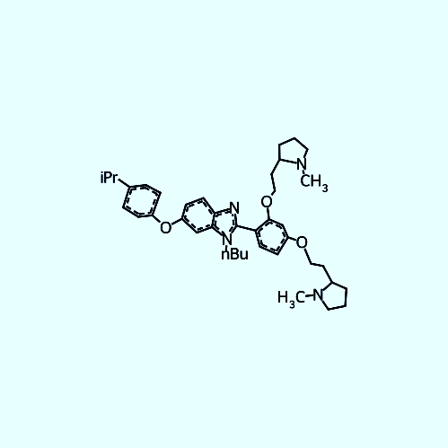 CCCCn1c(-c2ccc(OCCC3CCCN3C)cc2OCCC2CCCN2C)nc2ccc(Oc3ccc(C(C)C)cc3)cc21